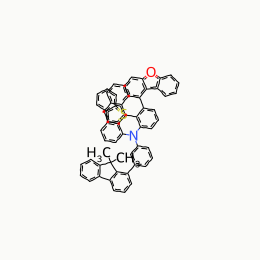 CC1(C)c2ccccc2-c2cccc(-c3cccc(N(c4cccc(-c5cccc6oc7ccccc7c56)c4-c4cccc5ccccc45)c4cccc5c4sc4ccccc45)c3)c21